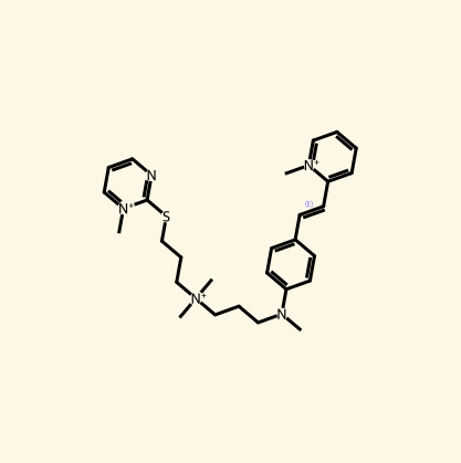 CN(CCC[N+](C)(C)CCCSc1nccc[n+]1C)c1ccc(/C=C/c2cccc[n+]2C)cc1